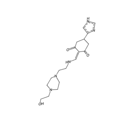 O=C1CC(c2c[nH]cn2)CC(=O)C1=CNCCN1CCN(CCO)CC1